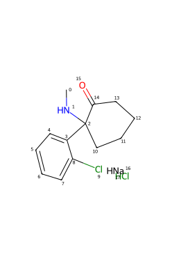 CNC1(c2ccccc2Cl)CCCCC1=O.Cl.[NaH]